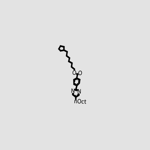 CCCCCCCCc1cnc(-c2ccc(C(=O)OCCCCCCCC3CCCC3)cc2)nc1